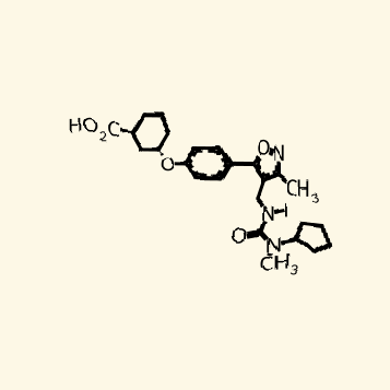 Cc1noc(-c2ccc(O[C@H]3CCC[C@H](C(=O)O)C3)cc2)c1CN(I)C(=O)N(C)C1CCCC1